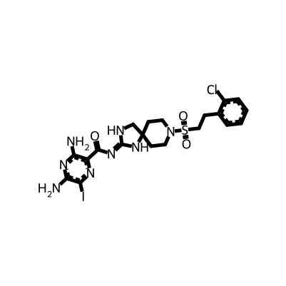 Nc1nc(N)c(C(=O)/N=C2\NCC3(CCN(S(=O)(=O)CCc4ccccc4Cl)CC3)N2)nc1I